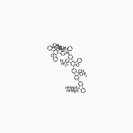 CCCCCCCC1(CCCCCCC)c2ccccc2-c2ccc(-c3ccc4c(c3)C(C)(C)c3cc(-c5cc6c(c7c5oc5ccccc57)-c5ccc(N(c7ccc8c(c7)C(C)(C)c7c9c(c%10oc%11ccccc%11c%10c7-8)-c7ccccc7C9(C)C)c7ccccc7C)cc5C6(C)C)ccc3-4)cc21